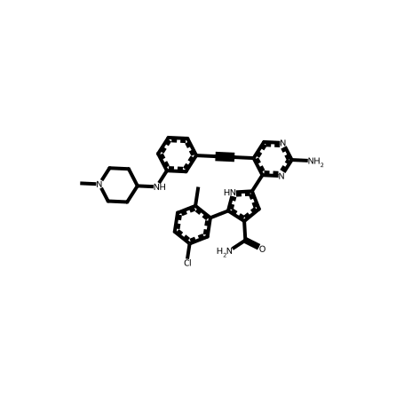 Cc1ccc(Cl)cc1-c1[nH]c(-c2nc(N)ncc2C#Cc2cccc(NC3CCN(C)CC3)c2)cc1C(N)=O